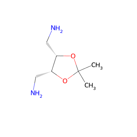 CC1(C)O[C@@H](CN)[C@@H](CN)O1